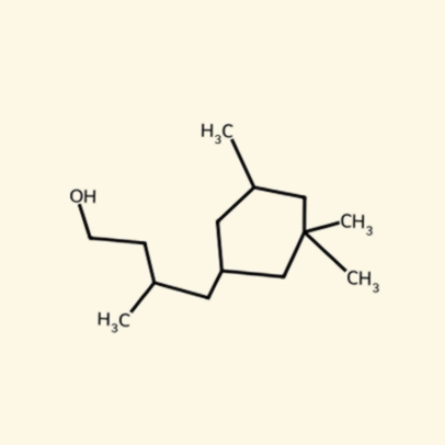 CC(CCO)CC1CC(C)CC(C)(C)C1